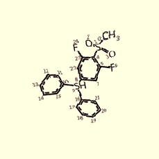 CS(=O)(=O)c1c(F)cc([SH](c2ccccc2)c2ccccc2)cc1F